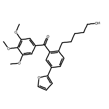 COc1cc(C(=O)c2cc(-c3ccco3)ccc2CCCCCO)cc(OC)c1OC